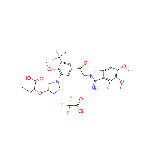 CCC(OC1CCN(c2cc(C(=O)CN3Cc4cc(OC)c(OC)c(F)c4C3=N)cc(C(C)(C)C)c2OC)C1)C(=O)O.O=C(O)C(F)(F)F